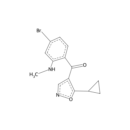 CNc1cc(Br)ccc1C(=O)c1cnoc1C1CC1